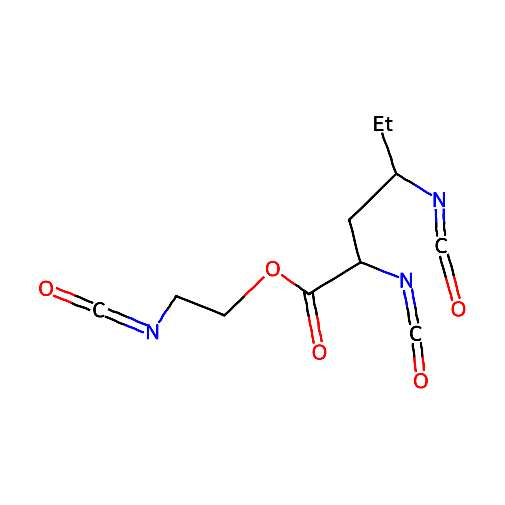 CCC(CC(N=C=O)C(=O)OCCN=C=O)N=C=O